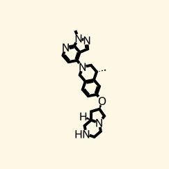 C[C@H]1CN(c2ccnc3c2cnn3C)Cc2ccc(O[C@@H]3C[C@H]4CNCCN4C3)cc21